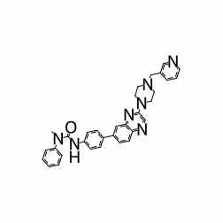 CN(C(=O)Nc1ccc(-c2ccc3ncc(N4CCN(Cc5cccnc5)CC4)nc3c2)cc1)c1ccccc1